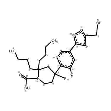 CCCCC1(CCCC)CC(F)(c2ncc(-c3cc(CO)on3)cc2Cl)CCN1C(=O)O